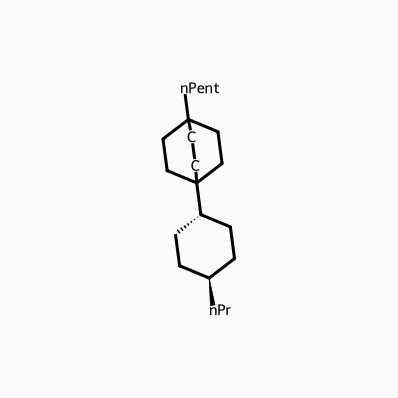 CCCCCC12CCC([C@H]3CC[C@H](CCC)CC3)(CC1)CC2